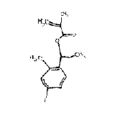 C=C(C)C(=O)OC(C)c1ccc(I)cc1C